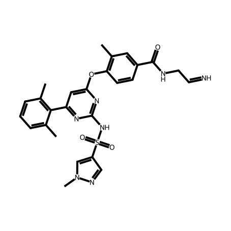 Cc1cc(C(=O)NCC=N)ccc1Oc1cc(-c2c(C)cccc2C)nc(NS(=O)(=O)c2cnn(C)c2)n1